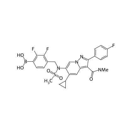 CNC(=O)c1c(-c2ccc(F)cc2)nn2cc(N(Cc3ccc(B(O)O)c(F)c3F)S(C)(=O)=O)c(C3CC3)cc12